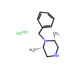 C[C@@H]1CNC[C@H](C)N1Cc1ccccc1.Cl.Cl